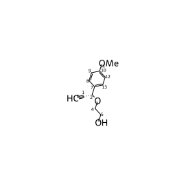 C#C[C@@H](OCCO)c1ccc(OC)cc1